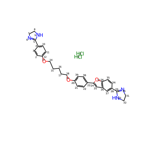 Cl.Cl.c1cc(C2=NCCN2)ccc1OCCCCCOc1ccc(-c2cc3cc(C4=NCCN4)ccc3o2)cc1